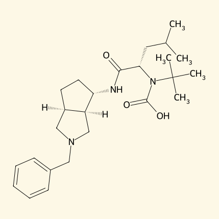 CC(C)C[C@@H](C(=O)N[C@H]1CC[C@@H]2CN(Cc3ccccc3)C[C@@H]21)N(C(=O)O)C(C)(C)C